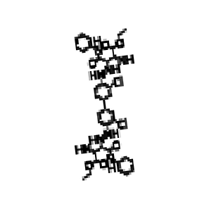 CCOC(=O)C(=N)C(NNc1ccc(-c2ccc(NNC(C(=N)C(=O)OCC)C(=O)Nc3ccccc3)c(Cl)c2)cc1Cl)C(=O)Nc1ccccc1